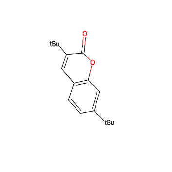 CC(C)(C)c1ccc2cc(C(C)(C)C)c(=O)oc2c1